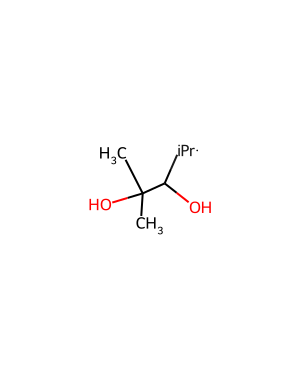 C[C](C)C(O)C(C)(C)O